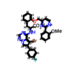 COc1ccccc1-c1nccc(COc2ccccc2CC(Nc2ncnn3cc(-c4ccc(F)cc4)c(Br)c23)C(=O)O)n1